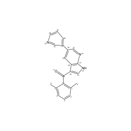 Cc1cccc(C)c1C(=O)c1c[nH]c2ncc(-c3cccnc3)cc12